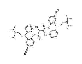 CC(C)N(CC[C@H](c1ccccc1)c1cc(C#N)ccc1OC(=O)C(O)C(O)C(=O)Oc1ccc(C#N)cc1[C@H](CCN(C(C)C)C(C)C)c1ccccc1)C(C)C